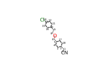 N#CCc1ccc(COCCc2ccc(Cl)cc2)cc1